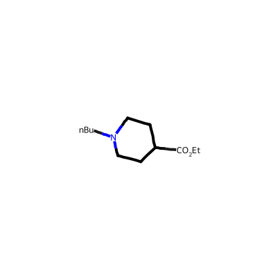 CCCCN1CCC(C(=O)OCC)CC1